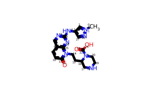 Cn1cc(Nc2ncc3ccc(=O)n(CCC4CNCCN4C(=O)O)c3n2)cn1